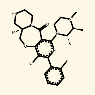 C[C@H]1[C@H](C)N(c2nc(-c3ccccc3F)c(Cl)c3c2C(=O)N2CCNC[C@@H]2CO3)CCN1C